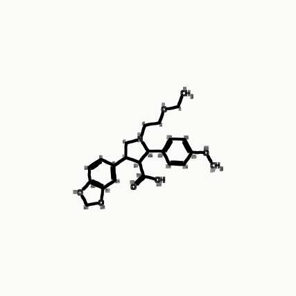 CCOCCN1CC(c2ccc3c(c2)OCO3)C(C(=O)O)C1c1ccc(OC)cc1